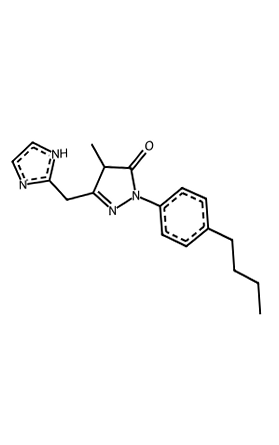 CCCCc1ccc(N2N=C(Cc3ncc[nH]3)C(C)C2=O)cc1